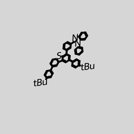 CC(C)(C)c1ccc(C2=CC3c4cc(-c5ccc(C(C)(C)C)cc5)cc(-c5cccc(-c6nc7ccccc7n6-c6ccccc6)c5)c4SC3C=C2)cc1